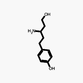 NC(CCO)CCc1ccc(O)cc1